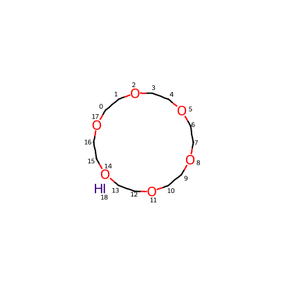 C1COCCOCCOCCOCCOCCO1.I